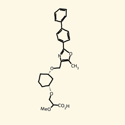 COC(CO[C@@H]1CCC[C@H](OCc2nc(-c3ccc(-c4ccccc4)cc3)oc2C)C1)C(=O)O